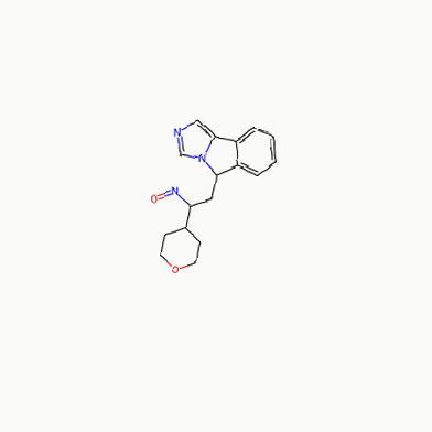 O=NC(CC1c2ccccc2-c2cncn21)C1CCOCC1